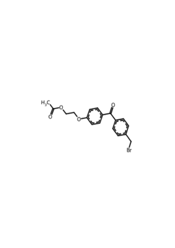 CC(=O)OCCOc1ccc(C(=O)c2ccc(CBr)cc2)cc1